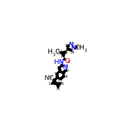 C[C@H]1[C@@H](C(=O)Nc2cc3cc([C@@]4(C#N)CC45CC5)ccc3cn2)[C@H]1c1cnn(C)c1